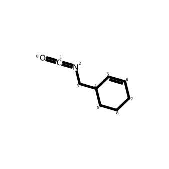 O=C=NCC1C=CCCC1